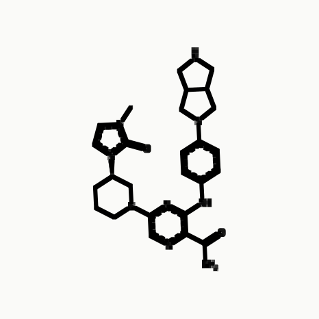 Cn1ccn([C@@H]2CCCN(c3cnc(C(N)=O)c(Nc4ccc(N5CC6CNCC6C5)cc4)n3)C2)c1=O